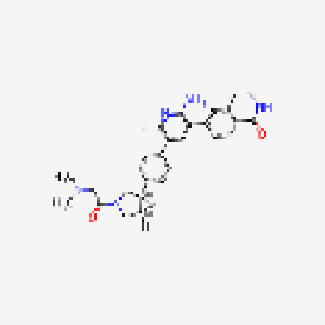 CN(C)CC(=O)N1C[C@H]2C[C@@]2(c2ccc(-c3cc(-c4ccc5c(c4)CCNC5=O)c(N)nc3F)cc2)C1